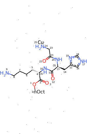 CCCCCCCCOC(=O)[C@H](CCCCN)NC(=O)[C@H](Cc1c[nH]cn1)NC(=O)CN.[Cu]